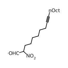 CCCCCCCCC#CCCCCCCC([C]=O)[N+](=O)[O-]